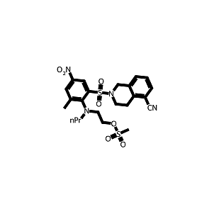 CCCN(CCOS(C)(=O)=O)c1c(C)cc([N+](=O)[O-])cc1S(=O)(=O)N1CCc2c(C#N)cccc2C1